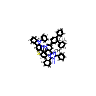 CN1C(C2CC(C3=C[C@](C)(C4=CCCCC4)C(c4ccccc4)C=C3)CNC2C2=CC=CC3SC4=CC5C6=CC=CC[C@H]6N(C6=CCCCC6)C5C=C4[C@@H]23)=NC(C2C=CCCC2)NC1C1=CC=CCC1